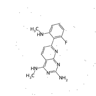 CNc1cccc(F)c1-c1ccc2c(NC)nc(N)nc2n1